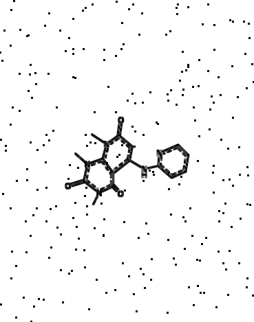 Cn1c(=O)c2c(Nc3ccccn3)cc(=O)n(C)c2n(C)c1=O